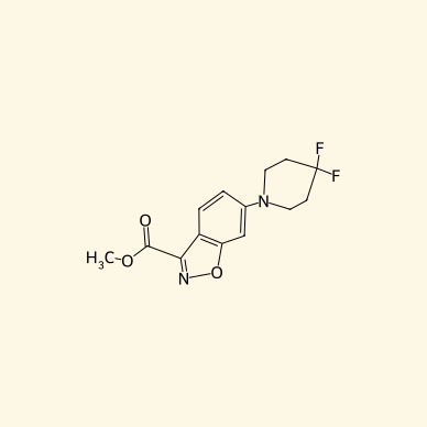 COC(=O)c1noc2cc(N3CCC(F)(F)CC3)ccc12